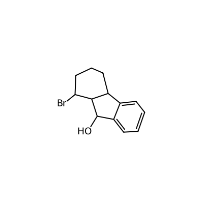 OC1c2ccccc2C2CCCC(Br)C12